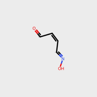 O=[C]/C=C\[C]=N\O